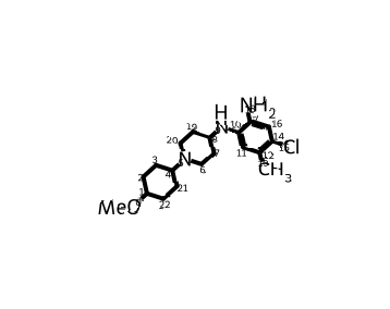 COC1CCC(N2CCC(Nc3cc(C)c(Cl)cc3N)CC2)CC1